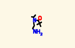 CC(C)N(CCCN)C(=O)C(C)(C)C